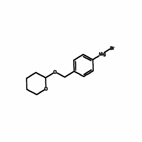 [Br][Mg][c]1ccc(COC2CCCCO2)cc1